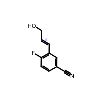 N#Cc1ccc(F)c(/C=C/CO)c1